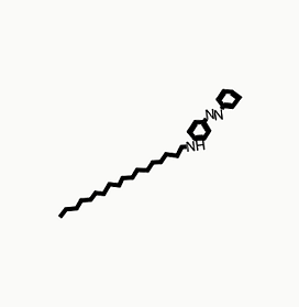 CCCCCCCCCCCCCCCCCCNc1ccc(/N=N/c2ccccc2)cc1